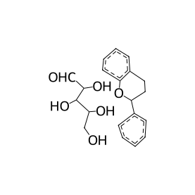 O=CC(O)C(O)C(O)CO.c1ccc(C2CCc3ccccc3O2)cc1